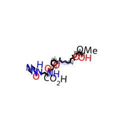 CO[C@@H]([C@@H](C)O)[C@@H](C)OC(C)(C)C[C@H](C)/C=C/C=C(\C)[C@H]1O[C@@H](CC(=O)N[C@@H](CCNC(=O)N2CCN(C)CC2)C(=O)O)CC[C@@H]1C